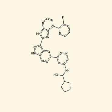 OC(Nc1cncc(-c2cc3c(-c4nc5c(-c6ccccc6F)cccc5[nH]4)n[nH]c3cn2)c1)C1CCCC1